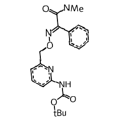 CNC(=O)C(=NOCc1cccc(NC(=O)OC(C)(C)C)n1)c1ccccc1